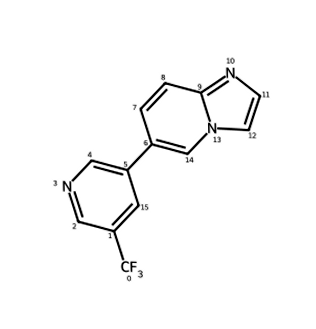 FC(F)(F)c1cncc(-c2ccc3nccn3c2)c1